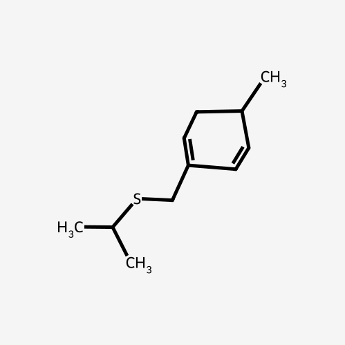 CC1C=CC(CSC(C)C)=CC1